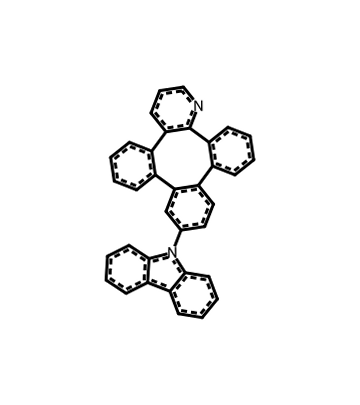 c1ccc2c(c1)-c1cc(-n3c4ccccc4c4ccccc43)ccc1-c1ccccc1-c1ncccc1-2